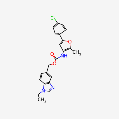 CCn1cnc2cc(COC(=O)Nc3cc(-c4ccc(Cl)cc4)oc3C)ccc21